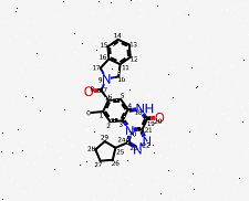 Cc1cc2c(cc1C(=O)N1Cc3ccccc3C1)[nH]c(=O)c1nnc(C3CCCC3)n12